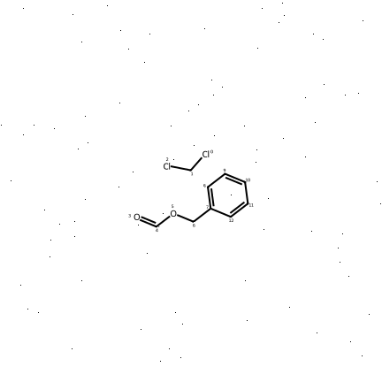 ClCCl.O=[C]OCc1ccccc1